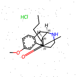 CCCC1CC(=O)C[C@]23CCN[C@H](Cc4ccc(OC)cc42)[C@H]13.Cl